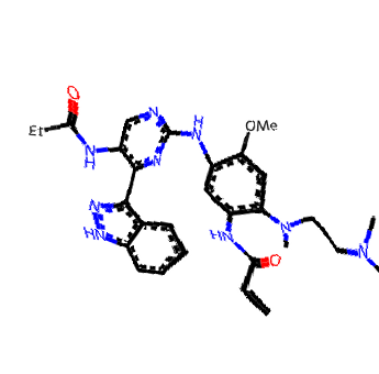 C=CC(=O)Nc1cc(Nc2ncc(NC(=O)CC)c(-c3n[nH]c4ccccc34)n2)c(OC)cc1N(C)CCN(C)C